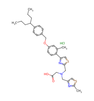 CCCC(CCC)c1ccc(COc2ccc(-c3csc(CN(CC(=O)O)Cc4csc(C)n4)n3)c(C)c2)cc1.Cl